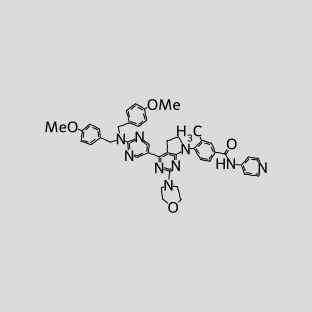 COc1ccc(CN(Cc2ccc(OC)cc2)c2ncc(-c3nc(N4CCOCC4)nc4c3CCN4c3ccc(C(=O)Nc4ccncc4)cc3C)cn2)cc1